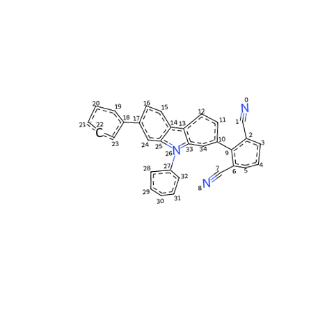 N#Cc1cccc(C#N)c1-c1ccc2c3ccc(-c4ccccc4)cc3n(-c3ccccc3)c2c1